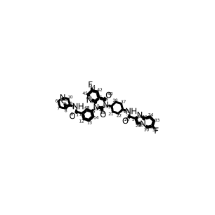 O=C(NC1CN2CCC1CC2)c1cccc(-n2c(=O)n(C3CCC(NC(=O)c4cn5cc(F)ccc5n4)CC3)c(=O)c3cc(F)cnc32)c1